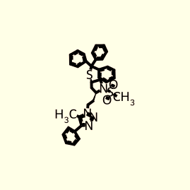 Cc1c(-c2ccccc2)nnn1CC[C@H]1C[C@@H](SC(c2ccccc2)(c2ccccc2)c2ccccc2)CN1S(C)(=O)=O